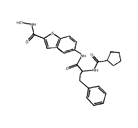 O=C(NO)c1cc2cc(NC(=O)C(Cc3ccccc3)NC(=O)C3CCCC3)ccc2s1